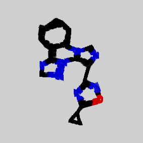 c1ccc2c(c1)c1ncnn1c1c(-c3noc(C4CC4)n3)ncn21